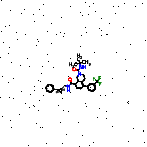 CC(C)(C)NC(=O)N1CCC2=C(c3cccc(C(F)(F)F)c3)C=CC(C(=O)NC[C@@H]3C[C@H]3c3ccccc3)C2C1